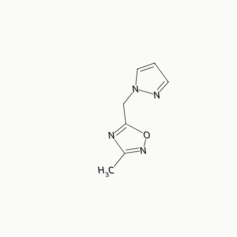 Cc1noc(Cn2cccn2)n1